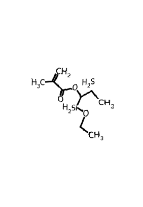 C=C(C)C(=O)OC(CC)[SiH2]OCC.S